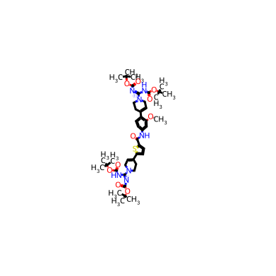 COc1cc(NC(=O)c2ccc(C3=CCN(/C(=N/C(=O)OC(C)(C)C)NC(=O)OC(C)(C)C)CC3)s2)ccc1C1=CCN(/C(=N/C(=O)OC(C)(C)C)NC(=O)OC(C)(C)C)CC1